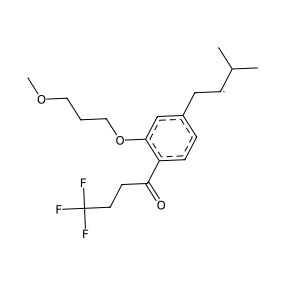 COCCCOc1cc(C[CH]C(C)C)ccc1C(=O)CCC(F)(F)F